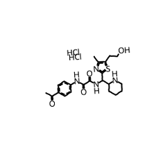 CC(=O)c1ccc(NC(=O)C(=O)NC(c2nc(C)c(CCO)s2)C2CCCCN2)cc1.Cl.Cl